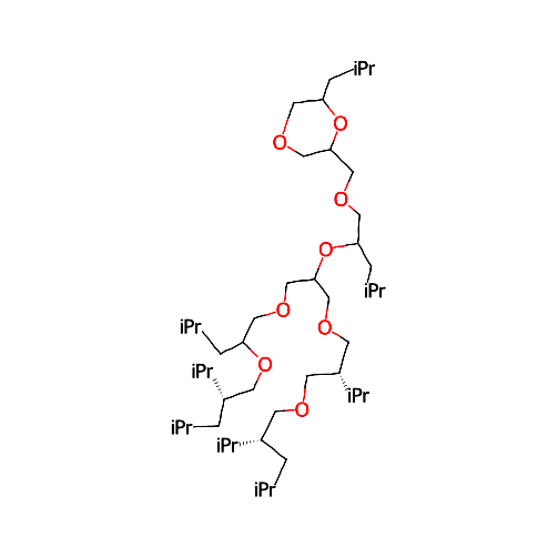 CC(C)CC(COCC(COC[C@@H](COC[C@H](CC(C)C)C(C)C)C(C)C)OC(COCC1COCC(CC(C)C)O1)CC(C)C)OC[C@H](CC(C)C)C(C)C